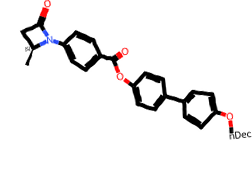 CCCCCCCCCCOc1ccc(-c2ccc(OC(=O)c3ccc(N4C(=O)C[C@@H]4C)cc3)cc2)cc1